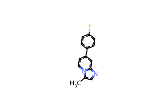 Cc1cnc2cc(-c3ccc(F)cc3)ccn12